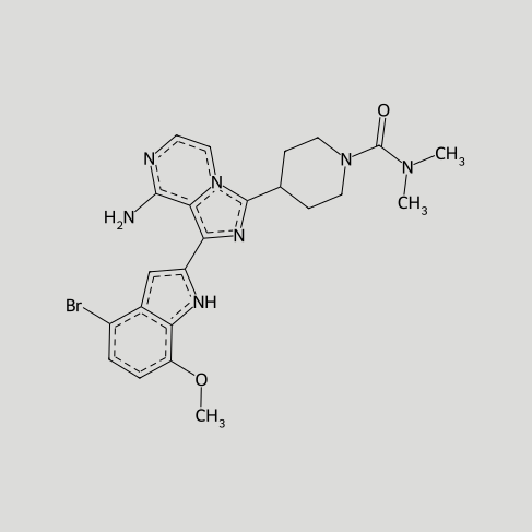 COc1ccc(Br)c2cc(-c3nc(C4CCN(C(=O)N(C)C)CC4)n4ccnc(N)c34)[nH]c12